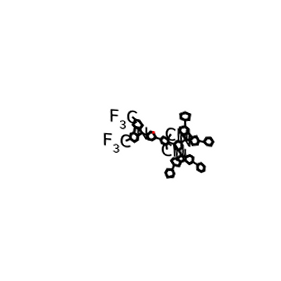 N#Cc1cc(-c2ccc(-n3c4ccc(C(F)(F)F)cc4c4cc(C(F)(F)F)ccc43)cc2)cc(C#N)c1-c1cc(-n2c3ccc(-c4ccccc4)cc3c3cc(-c4ccccc4)ccc32)cc(-n2c3ccc(-c4ccccc4)cc3c3cc(-c4ccccc4)ccc32)c1